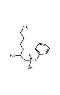 CCCCOC(C)OP(=O)(O)Oc1ccccc1